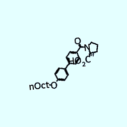 CCCCCCCCOc1ccc(-c2ccc(C(=O)N3CCC[C@H]3C(=O)O)cc2)cc1